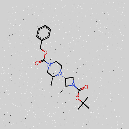 C[C@@H]1[C@H](N2CCN(C(=O)OCc3ccccc3)C[C@@H]2C)CN1C(=O)OC(C)(C)C